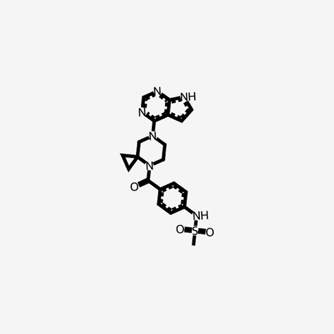 CS(=O)(=O)Nc1ccc(C(=O)N2CCN(c3ncnc4[nH]ccc34)CC23CC3)cc1